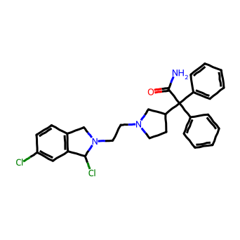 NC(=O)C(c1ccccc1)(c1ccccc1)C1CCN(CCN2Cc3ccc(Cl)cc3C2Cl)C1